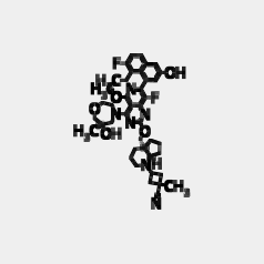 CCc1c(F)ccc2cc(O)cc(-c3nc(OC)c4c(N5CCOC[C@@](C)(O)C5)nc(OC[C@]56CCC[C@H]5N(C5CC(C)(C#N)C5)CCC6)nc4c3F)c12